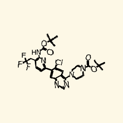 CC(C)(C)OC(=O)Nc1nc(-c2cc3ncnc(N4CCN(C(=O)OC(C)(C)C)CC4)c3cc2Cl)ccc1CC(F)(F)F